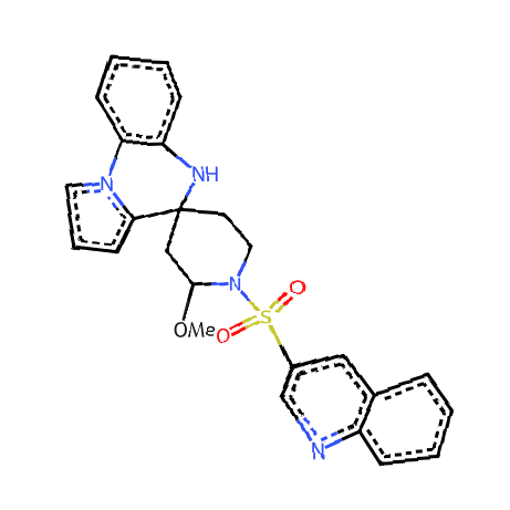 COC1CC2(CCN1S(=O)(=O)c1cnc3ccccc3c1)Nc1ccccc1-n1cccc12